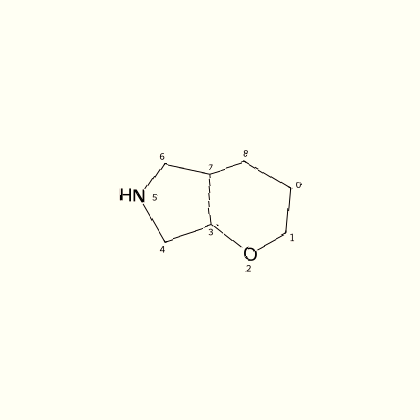 C1CO[C]2CNCC2C1